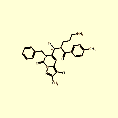 CC[C@H](c1cc2c(Cl)c(C)nn2c(=O)n1Cc1ccccc1)N(CCCN)C(=O)c1ccc(C)cc1